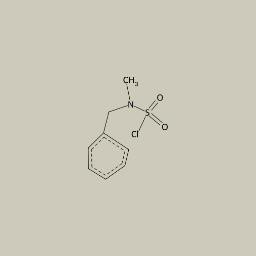 CN(Cc1ccccc1)S(=O)(=O)Cl